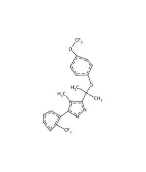 Cn1c(-c2ccccc2C(F)(F)F)nnc1C(C)(C)Oc1ccc(OC(F)(F)F)cc1